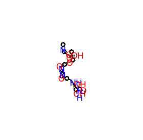 O=C(c1ccc(CCNC[C@H](O)c2ccc(O)c3[nH]c(=O)ccc23)cc1)N1CC2(C1)CN(C(=O)c1ccc(COc3cccc([C@](O)(C(=O)OCC4CCN(Cc5ccccc5)CC4)c4ccccc4)c3)cc1)C2